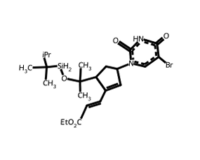 CCOC(=O)C=CC1=CC(n2cc(Br)c(=O)[nH]c2=O)CC1C(C)(C)O[SiH2]C(C)(C)C(C)C